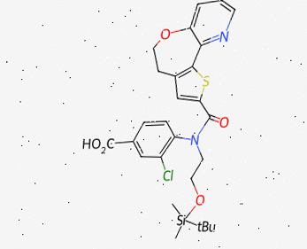 CC(C)(C)[Si](C)(C)OCCN(C(=O)c1cc2c(s1)-c1ncccc1OCC2)c1ccc(C(=O)O)cc1Cl